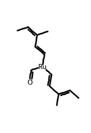 CC=C(C)C=[CH][Ru]([CH]=O)[CH]=CC(C)=CC